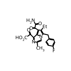 CCc1c(C(=O)C(N)=O)c2c(C(=O)C(=O)O)nc(C)cn2c1Cc1ccc(F)cc1